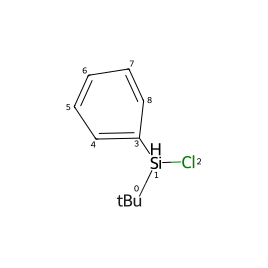 CC(C)(C)[SiH](Cl)c1ccccc1